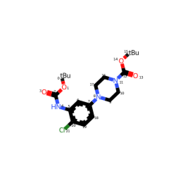 CC(C)(C)OC(=O)Nc1cc(N2CCN(C(=O)OC(C)(C)C)CC2)ccc1Cl